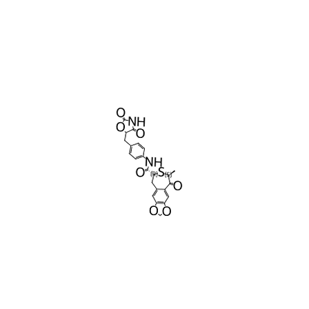 C[C@@H]1S[C@@H](C(=O)Nc2ccc(CC3OC(=O)NC3=O)cc2)Cc2cc3c(cc2C1=O)OCO3